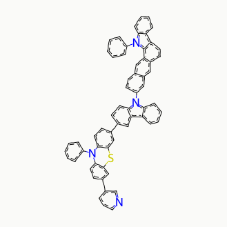 c1ccc(N2c3ccc(-c4cccnc4)cc3Sc3cc(-c4ccc5c(c4)c4ccccc4n5-c4ccc5cc6c(ccc7c8ccccc8n(-c8ccccc8)c67)cc5c4)ccc32)cc1